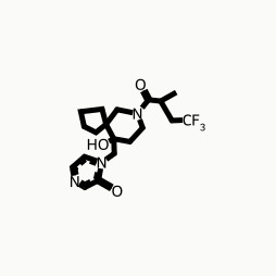 CC(CC(F)(F)F)C(=O)N1CCC(O)(Cn2ccncc2=O)C2(CCCC2)C1